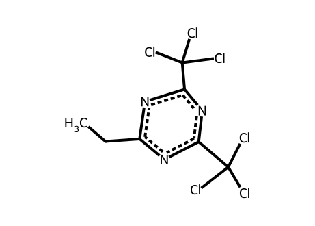 CCc1nc(C(Cl)(Cl)Cl)nc(C(Cl)(Cl)Cl)n1